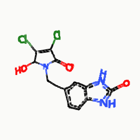 O=C1C(Cl)=C(Cl)C(O)N1Cc1ccc2[nH]c(=O)[nH]c2c1